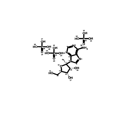 C[C@@]1(n2cnc3c(N)ncnc32)O[C@H](CO)[C@@H](O)[C@H]1O.O=P(O)(O)O.O=P(O)(O)O.O=P(O)(O)O